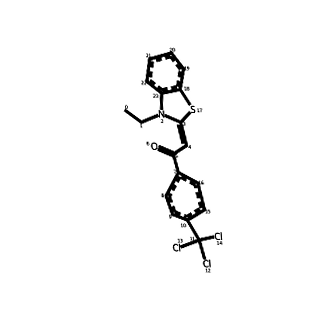 CCN1C(=CC(=O)c2ccc(C(Cl)(Cl)Cl)cc2)Sc2ccccc21